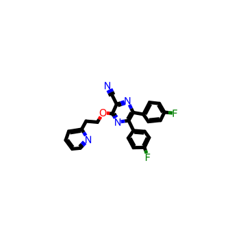 N#Cc1nc(-c2ccc(F)cc2)c(-c2ccc(F)cc2)nc1OCCc1ccccn1